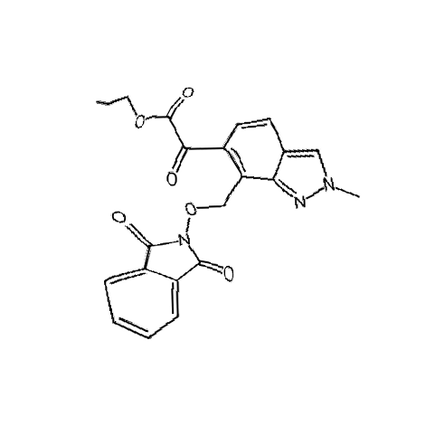 CCOC(=O)C(=O)c1ccc2cn(C)nc2c1CON1C(=O)c2ccccc2C1=O